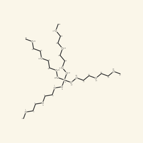 COCCOCCOO[Si](OOCCOCCOC)(OOCCOCCOC)OOCCOCCOC